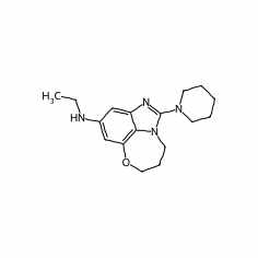 CCNc1cc2c3c(c1)nc(N1CCCCC1)n3CCCO2